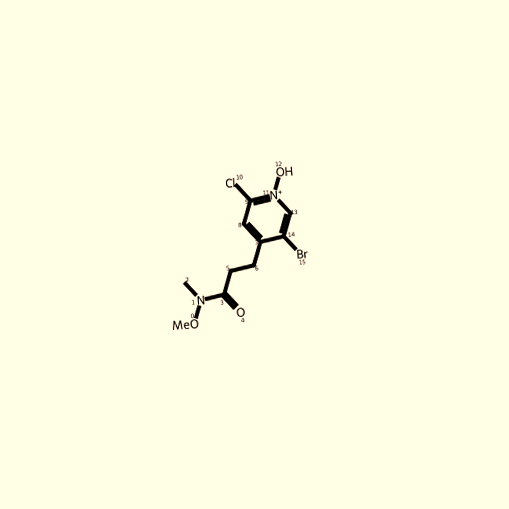 CON(C)C(=O)CCc1cc(Cl)[n+](O)cc1Br